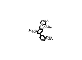 COc1cc(-c2cccc(O)c2)cc(OC)c1CN1CCNCC1